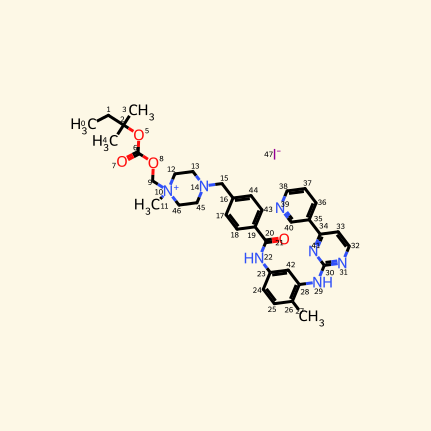 CCC(C)(C)OC(=O)OC[N+]1(C)CCN(Cc2ccc(C(=O)Nc3ccc(C)c(Nc4nccc(-c5cccnc5)n4)c3)cc2)CC1.[I-]